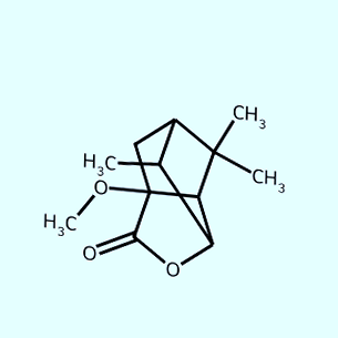 COC12CC3C(C)C(OC1=O)C2C3(C)C